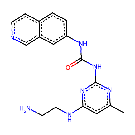 Cc1cc(NCCN)nc(NC(=O)Nc2ccc3ccncc3c2)n1